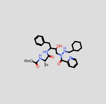 COC(=O)N[C@H](C(=O)NC(Cc1ccccc1)C(O)CN(NCC1CCCCC1)C(=O)c1ccccn1)C(C)C